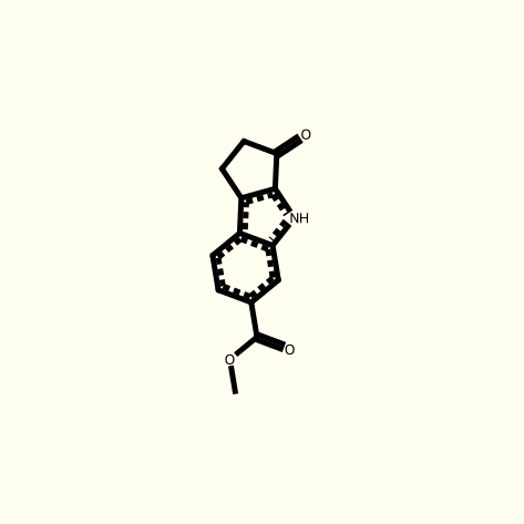 COC(=O)c1ccc2c3c([nH]c2c1)C(=O)CC3